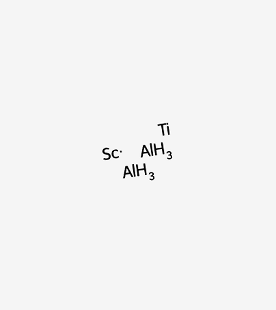 [AlH3].[AlH3].[Sc].[Ti]